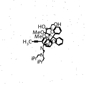 CC#Cc1cn([C@]2(C(c3ccccc3)(c3ccccc3)c3ccccc3)O[C@H](CO)[C@@H](O)C2(OC)OC)c(=O)nc1N=CN(CC(C)C)CC(C)C